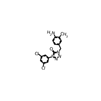 Cc1cc(Cn2nnn(-c3cc(Cl)cc(Cl)c3)c2=O)ccc1N